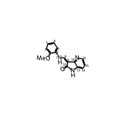 COc1ccccc1NC=C1C(=O)Nc2cccnc21